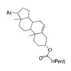 CCCCCC(=O)OC1CCC2(C)C(=CCC3C2CCC2(C)C(C(C)=O)CCC32)C1